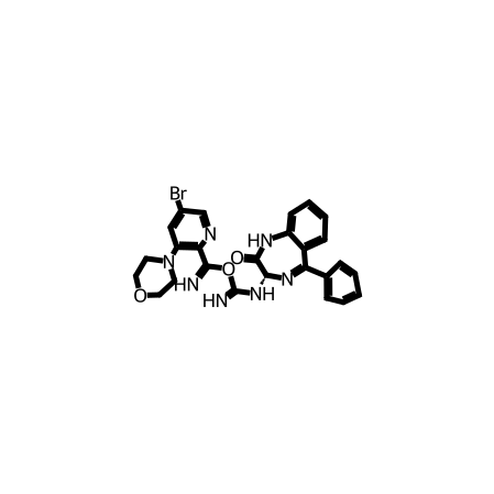 N=C(N[C@H]1N=C(c2ccccc2)c2ccccc2NC1=O)OC(=N)c1ncc(Br)cc1N1CCOCC1